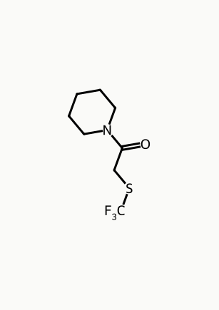 O=C(CSC(F)(F)F)N1CCCCC1